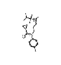 Cc1ccc(N(CCCN(C)C(C)(C)C(C)C)C(=O)C2CC2)cc1